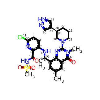 Cc1cc([C@@H](C)Nc2ccc(Cl)nc2C(=O)NS(C)(=O)=O)c2nc(N3CCC[C@H](c4cn[nH]c4)C3)n(C)c(=O)c2c1